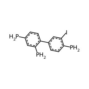 Pc1ccc(-c2ccc(P)c(I)c2)c(P)c1